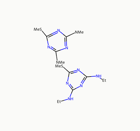 CCNc1nc(NCC)nc(SC)n1.CNc1nc(NC)nc(SC)n1